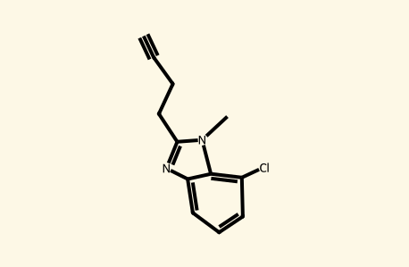 C#CCCc1nc2cccc(Cl)c2n1C